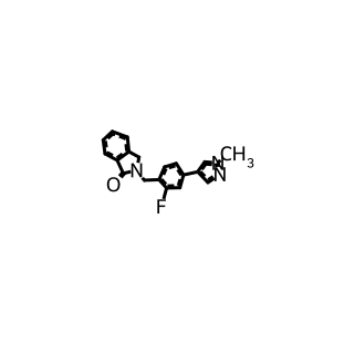 Cn1cc(-c2ccc(CN3Cc4ccccc4C3=O)c(F)c2)cn1